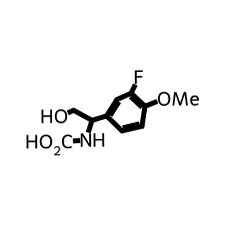 COc1ccc(C(CO)NC(=O)O)cc1F